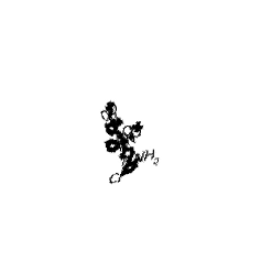 CC(C)(C)OC(=O)/N=c1\n(Cc2cccc3c2ccn3C(=O)OC(C)(C)C)c2ccccc2n1C1CCN(c2cc(Cl)ccc2N)CC1